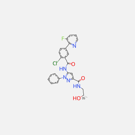 C[C@H](O)CNC(=O)c1cc(NC(=O)c2cc(-c3ncccc3F)ccc2Cl)n(-c2ccccc2)n1